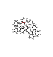 C1=C2c3ccccc3C(c3ccccc3)(c3ccccc3)C2CC(N(c2ccc3c(c2)C(c2ccccc2)(c2ccccc2)c2ccccc2-3)c2ccccc2-c2ccccc2)=C1